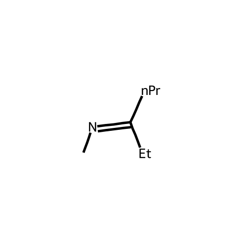 [CH2]CC/C(CC)=N/C